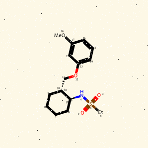 CCS(=O)(=O)N[C@H]1CCCC[C@@H]1COc1cccc(OC)c1